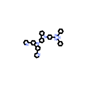 c1ccc(-c2nc(-c3ccccc3)nc(-c3ccc(-n4c5ccccc5c5cc(-n6c7ccc(-c8ccccn8)cc7c7cc(-c8ccccn8)ccc76)ccc54)cc3)n2)cc1